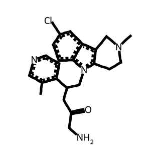 Cc1cnccc1C(CC(=O)CN)Cn1c2c(c3cc(Cl)ccc31)CN(C)CC2